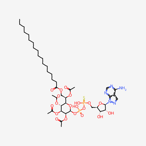 CCCCCCCCCCCCCCCCCC(=O)OC[C@@H](OC(C)=O)[C@H]1O[C@@H](OP(=O)(O)OP(O)(=S)OC[C@H]2O[C@@H](n3ncc4c(N)ncnc43)[C@H](O)[C@@H]2O)[C@@H](OC(C)=O)[C@@H](OC(C)=O)[C@@H]1OC(C)=O